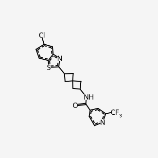 O=C(NC1CC2(C1)CC(c1nc3cc(Cl)ccc3s1)C2)c1ccnc(C(F)(F)F)c1